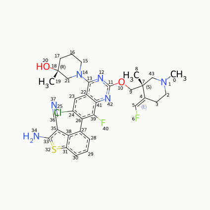 CN1CC/C(=C\F)[C@](C)(COc2nc(N3CCC[C@@](C)(O)C3)c3cc(Cl)c(-c4cccc5sc(N)c(C#N)c45)c(F)c3n2)C1